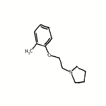 Cc1cc[c]cc1OCCN1CCCC1